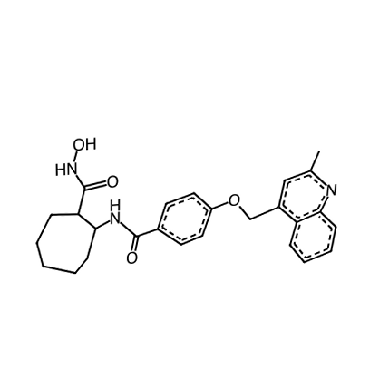 Cc1cc(COc2ccc(C(=O)NC3CCCCCC3C(=O)NO)cc2)c2ccccc2n1